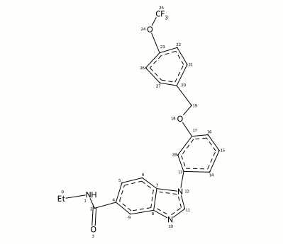 CCNC(=O)c1ccc2c(c1)ncn2-c1cccc(OCc2ccc(OC(F)(F)F)cc2)c1